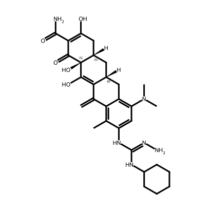 C=C1C2=C(O)[C@]3(O)C(=O)C(C(N)=O)=C(O)C[C@@H]3C[C@@H]2Cc2c(N(C)C)cc(NC(=NN)NC3CCCCC3)c(C)c21